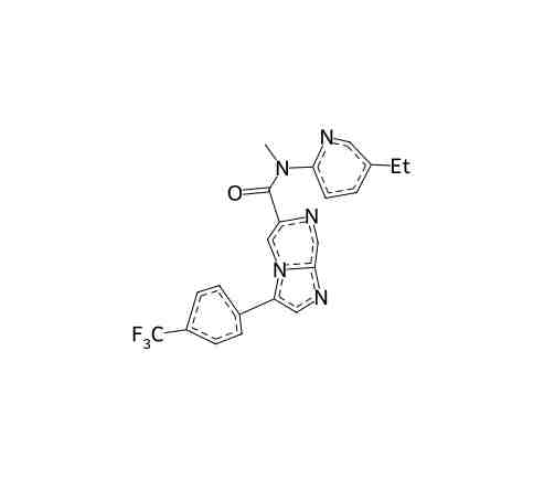 CCc1ccc(N(C)C(=O)c2cn3c(-c4ccc(C(F)(F)F)cc4)cnc3cn2)nc1